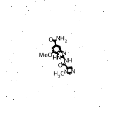 COc1cc(C(N)=O)cc2nc(NC(=O)c3cncn3C)[nH]c12